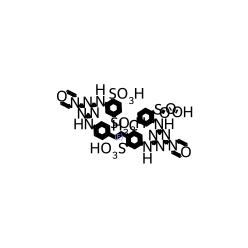 Cc1ccc(SOOO)c(Nc2nc(Nc3ccc(/C=C/c4ccc(Nc5nc(Nc6cc(S(=O)(=O)O)ccc6S(=O)(=O)O)nc(N6CCOCC6)n5)cc4)c(S(=O)(=O)O)c3)nc(N3CCOCC3)n2)c1